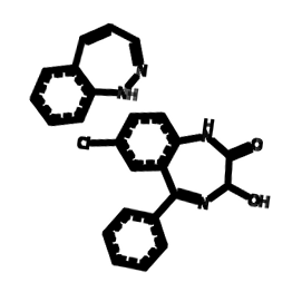 C1=Cc2ccccc2NN=C1.O=C1Nc2ccc(Cl)cc2C(c2ccccc2)=NC1O